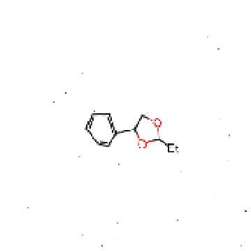 CCC1OCC(c2ccccc2)O1